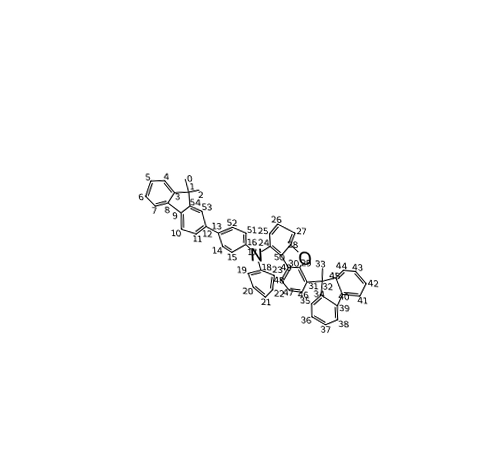 CC1(C)c2ccccc2-c2ccc(-c3ccc(N(c4ccccc4)c4cccc5oc6c(C7(C)c8ccccc8-c8ccccc87)cccc6c45)cc3)cc21